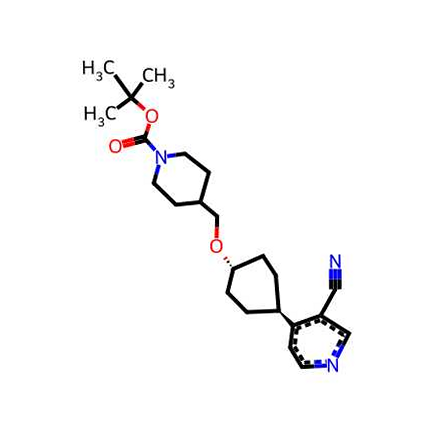 CC(C)(C)OC(=O)N1CCC(CO[C@H]2CC[C@H](c3ccncc3C#N)CC2)CC1